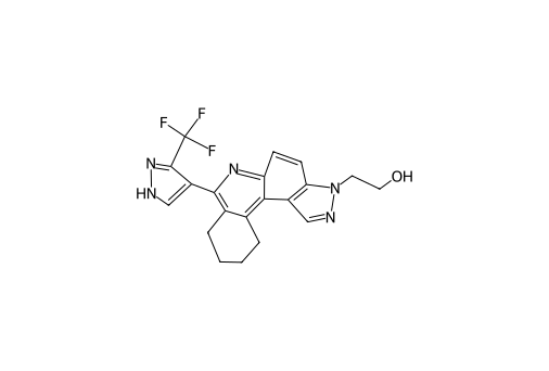 OCCn1ncc2c3c4c(c(-c5c[nH]nc5C(F)(F)F)nc3ccc21)CCCC4